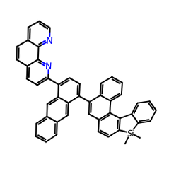 C[Si]1(C)c2ccccc2-c2c1ccc1cc(-c3ccc(-c4ccc5ccc6cccnc6c5n4)c4cc5ccccc5cc34)c3ccccc3c21